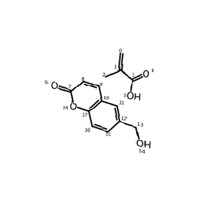 C=C(C)C(=O)O.O=c1ccc2cc(CO)ccc2o1